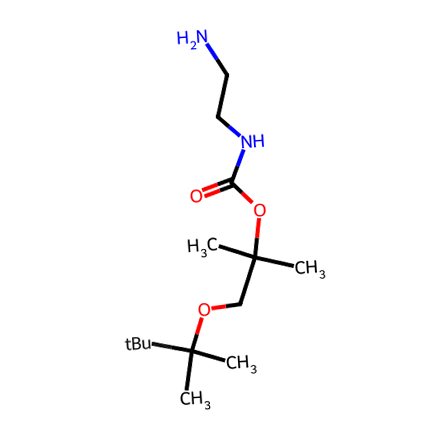 CC(C)(COC(C)(C)C(C)(C)C)OC(=O)NCCN